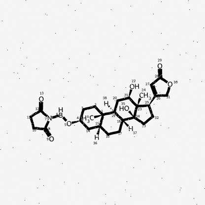 C[C@]12CC[C@H](OBN3C(=O)CCC3=O)C[C@H]1CC[C@@H]1[C@@H]2C[C@@H](O)[C@]2(C)[C@@H](C3=CC(=O)OC3)CC[C@]12O